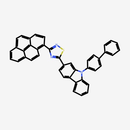 c1ccc(-c2ccc(-n3c4ccccc4c4ccc(-c5nc(-c6ccc7ccc8cccc9ccc6c7c89)ns5)cc43)cc2)cc1